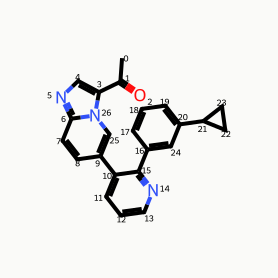 CC(=O)c1cnc2ccc(-c3cccnc3-c3cccc(C4CC4)c3)cn12